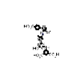 [C-]#[N+]c1cnn(-c2ccc(C(=O)O)cc2)c1/N=N/c1cn(-c2nc(O)nc(Nc3cc(C(=O)O)cc(C(=O)O)c3)n2)nc1C